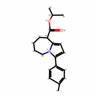 Cc1ccc(-c2ccc3n2CCCCC3C(=O)OC(C)C)cc1